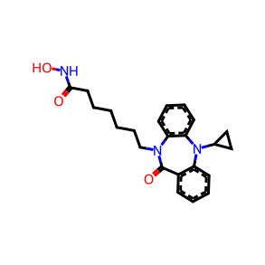 O=C(CCCCCCN1C(=O)c2ccccc2N(C2CC2)c2ccccc21)NO